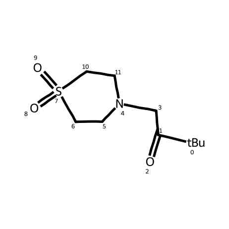 CC(C)(C)C(=O)CN1CCS(=O)(=O)CC1